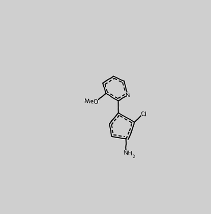 COc1cccnc1-c1ccc(N)cc1Cl